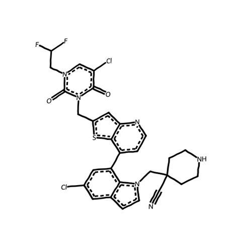 N#CC1(Cn2ccc3cc(Cl)cc(-c4ccnc5cc(Cn6c(=O)c(Cl)cn(CC(F)F)c6=O)sc45)c32)CCNCC1